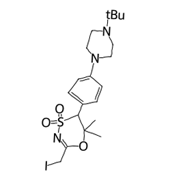 CC1(C)OC(CI)=NS(=O)(=O)C1c1ccc(N2CCN(C(C)(C)C)CC2)cc1